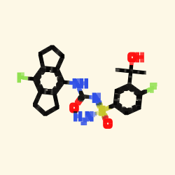 CC(C)(O)c1cc([S@@](N)(=O)=NC(=O)Nc2c3c(c(F)c4c2CCC4)CCC3)ccc1F